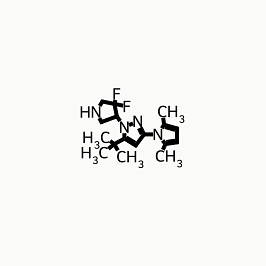 Cc1ccc(C)n1-c1cc(C(C)(C)C)n(C2CNCC2(F)F)n1